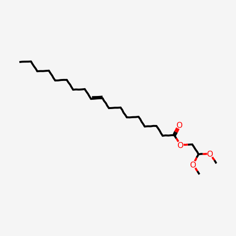 CCCCCCCCC=CCCCCCCCC(=O)OCC(OC)OC